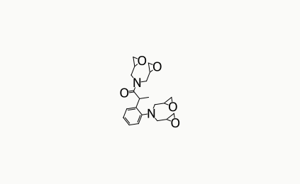 CC(C(=O)N(CC1CO1)CC1CO1)c1ccccc1N(CC1CO1)CC1CO1